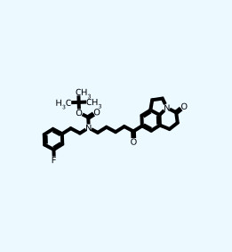 CC(C)(C)OC(=O)N(CCCCC(=O)c1cc2c3c(c1)CCN3C(=O)CC2)CCc1cccc(F)c1